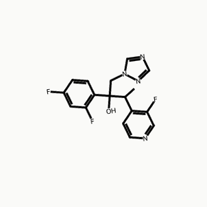 CC(c1ccncc1F)C(O)(Cn1cncn1)c1ccc(F)cc1F